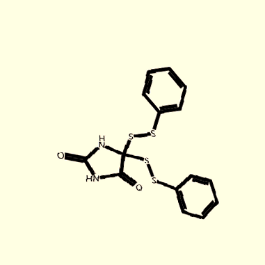 O=C1NC(=O)C(SSc2ccccc2)(SSc2ccccc2)N1